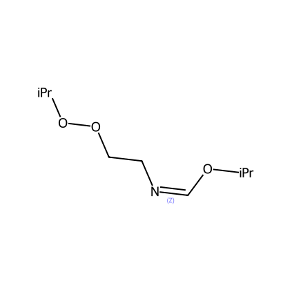 CC(C)O/C=N\CCOOC(C)C